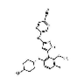 COc1c(F)ccc(O[C@H]2CC[C@H](N)CC2)c1-c1cc(Nc2cnc(C#N)cn2)n[nH]1